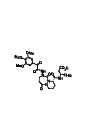 COc1cc(C(=O)C(=O)NN2CCC(=O)N3CCC[C@@H](C(=O)N[C@H](C=O)CC(=O)O)N3C2=O)cc(OC)c1OC